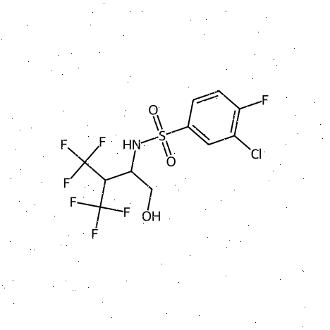 O=S(=O)(NC(CO)C(C(F)(F)F)C(F)(F)F)c1ccc(F)c(Cl)c1